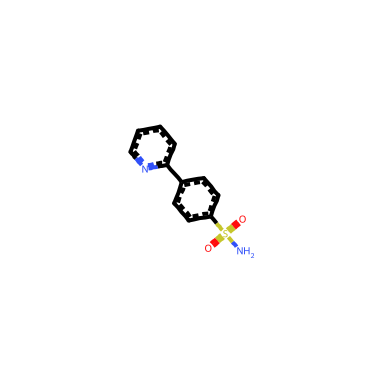 NS(=O)(=O)c1ccc(-c2ccccn2)cc1